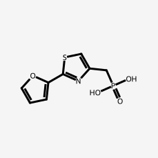 O=P(O)(O)Cc1csc(-c2ccco2)n1